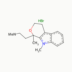 Br.CNCCC1(C)OCCc2c1n(C)c1ccccc21